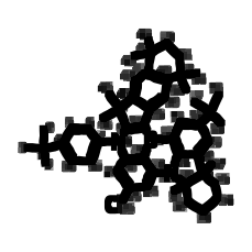 CC(C)(C)c1ccc(N2C3=C(B4c5cc(C(C)(C)C)cc6c5N(c5cc(Cl)cc2c54)C2(C)CCCCC62C)c2cc4c(cc2C3(C)C)C(C)(C)CCC4(C)C)cc1